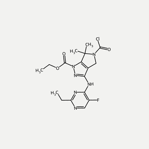 CCOC(=O)n1nc(Nc2nc(CC)ncc2F)c2c1C(C)(C)N(C(=O)Cl)C2